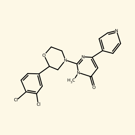 Cn1c(N2CCOC(c3ccc(Cl)c(Cl)c3)C2)nc(-c2ccncc2)cc1=O